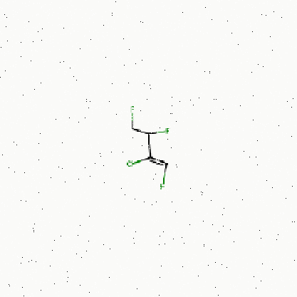 FC=C(Cl)C(F)CF